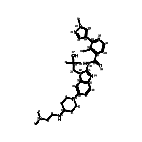 CN(C)CCNC1CCN(c2ccc3nc(NC(=O)c4ccnc(-c5cnn(C)c5)c4F)n(CC(C)(C)O)c3c2)CC1